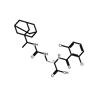 CC(NC(=O)NC[C@H](NC(=O)c1c(Cl)cccc1Cl)C(=O)O)C12CC3CC(CC(C3)C1)C2